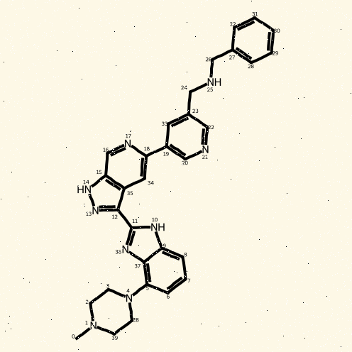 CN1CCN(c2cccc3[nH]c(-c4n[nH]c5cnc(-c6cncc(CNCc7ccccc7)c6)cc45)nc23)CC1